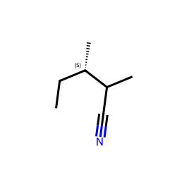 CC[C@H](C)C(C)C#N